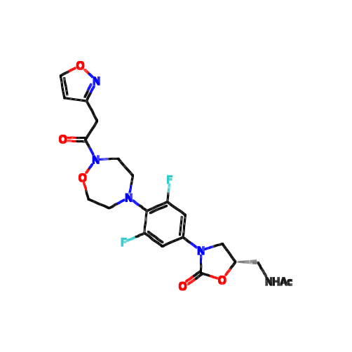 CC(=O)NC[C@H]1CN(c2cc(F)c(N3CCON(C(=O)Cc4ccon4)CC3)c(F)c2)C(=O)O1